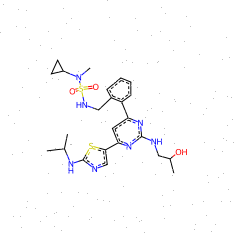 CC(O)CNc1nc(-c2cnc(NC(C)C)s2)cc(-c2ccccc2CNS(=O)(=O)N(C)C2CC2)n1